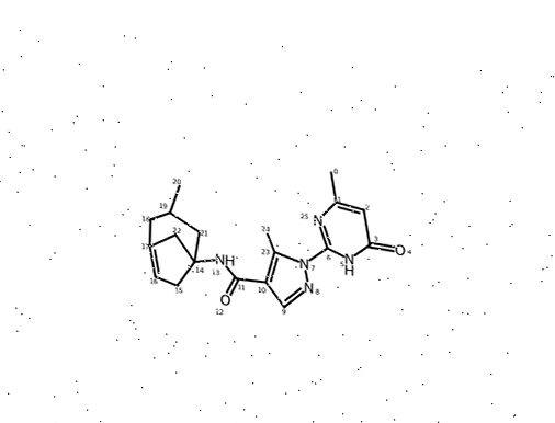 Cc1cc(=O)[nH]c(-n2ncc(C(=O)NC34CC=C(CC(C)C3)C4)c2C)n1